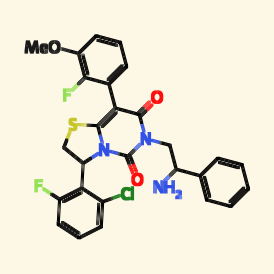 COc1cccc(-c2c3n(c(=O)n(CC(N)c4ccccc4)c2=O)C(c2c(F)cccc2Cl)CS3)c1F